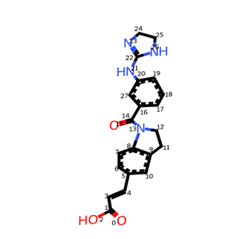 O=C(O)C=Cc1ccc2c(c1)CCN2C(=O)c1cccc(NC2=NCCN2)c1